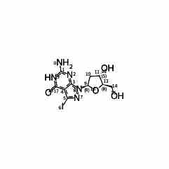 Nc1nc2c(c(I)nn2[C@H]2C[C@H](O)[C@@H](CO)O2)c(=O)[nH]1